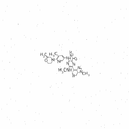 CNc1nc(Nc2cnc(N3CCO[C@@H](C)C3)c(C)c2)c(C(N)=O)nc1-c1cncc2c1ncn2C